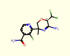 CC1(c2n[c]cc(C(N)=O)c2F)CO[C@@H](C(F)F)C(N)=N1